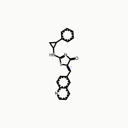 O=C1N=C(NC2CC2c2ccccc2)S/C1=C\c1ccc2ncccc2c1